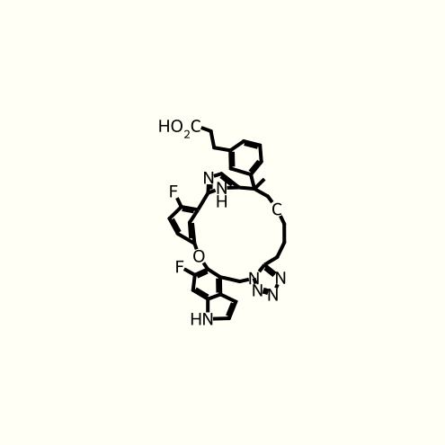 CC1(c2cccc(CCC(=O)O)c2)CCCCCc2nnnn2Cc2c(c(F)cc3[nH]ccc23)Oc2ccc(F)c(c2)-c2ncc1[nH]2